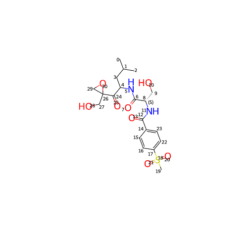 CC(C)CC(NC(=O)[C@H](CO)NC(=O)c1ccc(S(C)(=O)=O)cc1)C(=O)C1(CO)CO1